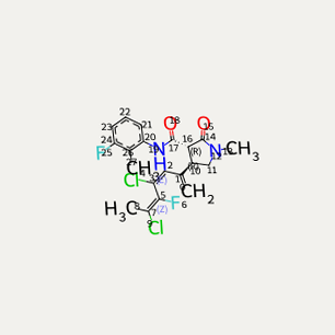 C=C(/C=C(Cl)\C(F)=C(/C)Cl)[C@@H]1CN(C)C(=O)[C@H]1C(=O)Nc1cccc(F)c1C